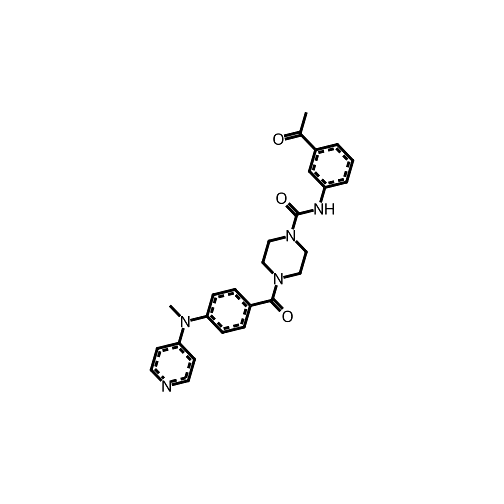 CC(=O)c1cccc(NC(=O)N2CCN(C(=O)c3ccc(N(C)c4ccncc4)cc3)CC2)c1